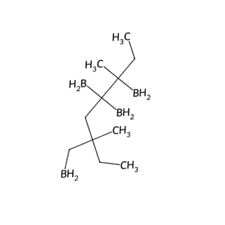 BCC(C)(CC)CC(B)(B)C(B)(C)CC